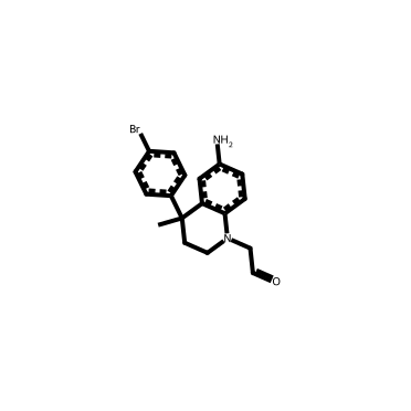 CC1(c2ccc(Br)cc2)CCN(CC=O)c2ccc(N)cc21